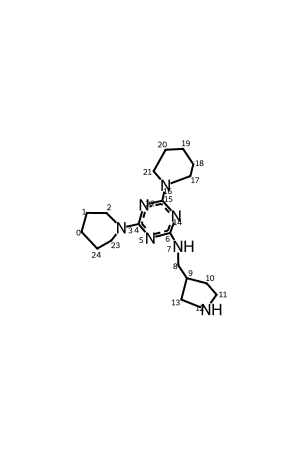 C1CCN(c2nc(NCC3CCNC3)nc(N3CCCCC3)n2)CC1